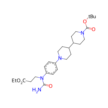 CCOC(=O)CCN(C(N)=O)c1ccc(N2CCC(C3CCN(C(=O)OC(C)(C)C)CC3)CC2)cc1